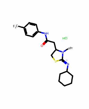 CCCN1/C(=N/C2CCCCC2)SCC1CC(=O)Nc1ccc(C(F)(F)F)cc1.Cl